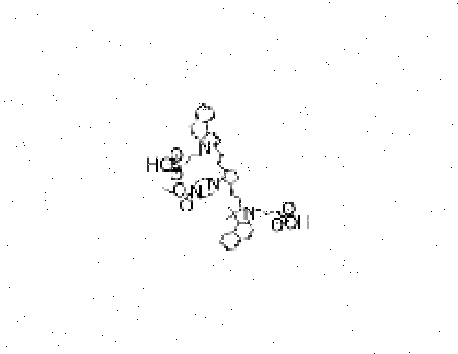 CCOC(=O)N1CCN(C2=C(/C=C/c3sc4c5ccccc5ccc4[n+]3CCCS(=O)(=O)O)CC/C2=C\C=C2\N(CCCS(=O)(=O)O)c3ccc4ccccc4c3C2(C)C)CC1